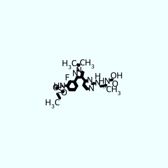 CCCS(=O)(=O)Nc1cccc(-c2nn(C(C)C)cc2-c2ccnc(NC[C@H](C)NC(=O)O)n2)c1F